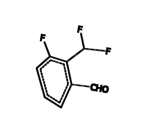 O=Cc1cccc(F)c1C(F)F